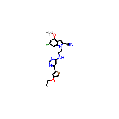 CCOc1csc(-c2cc(NCCn3c(C#N)cc4c(OC)cc(F)cc43)ncn2)c1